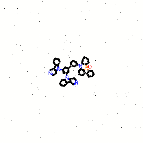 O=P1(c2ccccc2)c2ccccc2N(c2cccc(-c3cc(-n4c5ccccc5c5cnccc54)cc(-n4c5ccccc5c5cnccc54)c3)c2)c2ccccc21